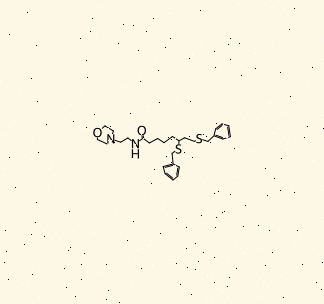 O=C(CCCCC(CCSCc1ccccc1)SCc1ccccc1)NCCN1CCOCC1